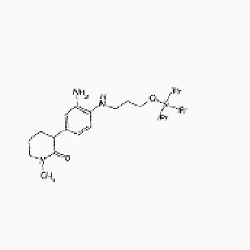 CC(C)[Si](OCCCNc1ccc(C2CCCN(C)C2=O)cc1N)(C(C)C)C(C)C